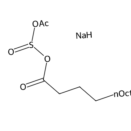 CCCCCCCCCCCC(=O)OS(=O)OC(C)=O.[NaH]